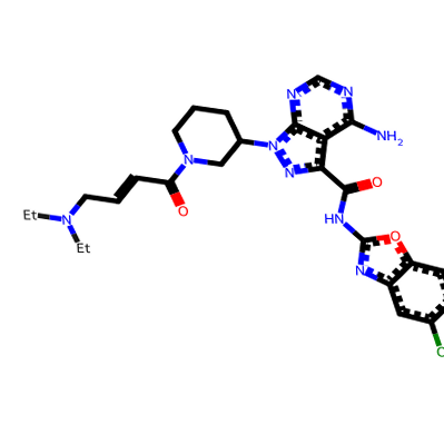 CCN(CC)CC=CC(=O)N1CCCC(n2nc(C(=O)Nc3nc4cc(Cl)ccc4o3)c3c(N)ncnc32)C1